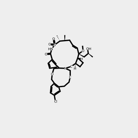 CO[C@@]1(C[C@H](C)O)/C=C/C[C@H](C)[C@@H](C)S(=O)(=O)NC(=O)c2ccc3c(c2)N(CCCCc2cc(Cl)ccc2CO3)C[C@@H]2CC[C@H]21